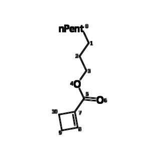 CCCCCCCCOC(=O)C1=CCC1